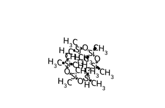 C[SiH2]O[Si](C)(C)O[Si](C)(C)C.C[SiH](C)O[Si](C)(C)O[Si](C)(C)C